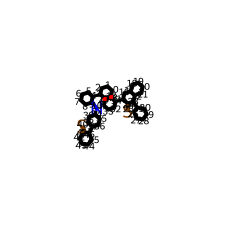 c1ccc(-c2ccccc2N(c2ccc(-c3cc4ccccc4c4c3sc3ccccc34)cc2)c2ccc3c(c2)sc2ccccc23)cc1